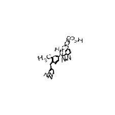 Cc1cc(Nc2ncnc3ccc(N4CCN(C(=O)O)CC4C)cc23)ccc1Cc1ccn2ncnc2c1